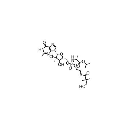 Cc1nc2c(ncn2[C@@H]2O[C@H](CO[P@@](=O)(N[C@H](C)C(=O)OC(C)C)OCCSC(=O)C(C)(C)CO)[C@@H](O)[C@@]2(C)Cl)c(=O)[nH]1